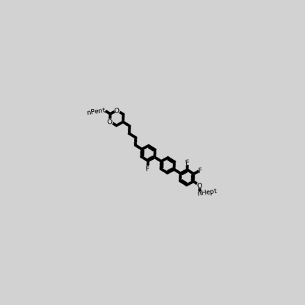 CCCCCCCOc1ccc(-c2ccc(-c3ccc(CCCCC4COC(CCCCC)OC4)cc3F)cc2)c(F)c1F